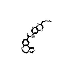 COCC1COc2cc(NC(=O)c3ccc4c(c3)-c3cncn3CCO4)cnc2O1